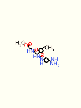 CCOC(=O)CCNC(=O)CC(NC(=O)Nc1ccc(C(=N)N)cc1)c1ccc(CC)cc1